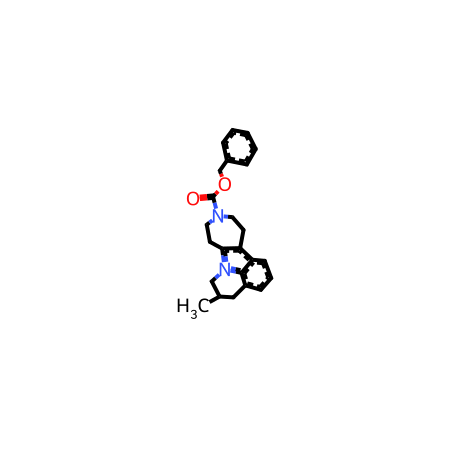 CC1Cc2cccc3c4c(n(c23)C1)CCN(C(=O)OCc1ccccc1)CC4